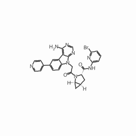 Nc1ncnc2c1c1cc(-c3ccncc3)ccc1n2CC(=O)N1[C@@H]2C[C@@H]2C[C@H]1C(=O)Nc1cccc(Br)n1